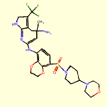 CC1(N)C=C(Nc2ccc(S(=O)(=O)N3CCC(N4CCOCC4)CC3)c3c2OCCO3)N=C2NCC(C(F)(F)F)=C21